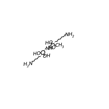 CC(O)[C@@H](CCCCCCCN)C(O)CCNC[C@@H]1CC(O)[C@H](CCCCCCN)[C@H](O)C1